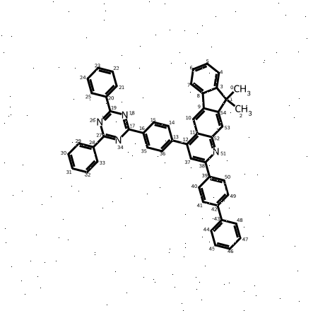 CC1(C)c2ccccc2-c2cc3c(-c4ccc(-c5nc(-c6ccccc6)nc(-c6ccccc6)n5)cc4)cc(-c4ccc(-c5ccccc5)cc4)nc3cc21